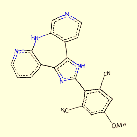 COc1cc(C#N)c(-c2nc3c([nH]2)-c2ccncc2Nc2ncccc2-3)c(C#N)c1